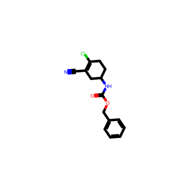 N#CC1=C(Cl)CCC(NC(=O)OCc2ccccc2)C1